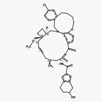 CO[C@H]1/C=C/C[C@H](C)C[S@@](=O)(NC(=O)c2cc3n(c2)CCC(O)C3)=NC(=O)c2ccc3c(c2)N(Cc2ccc(Cl)cc2CCCCO3)C[C@@H]2CC[C@H]21